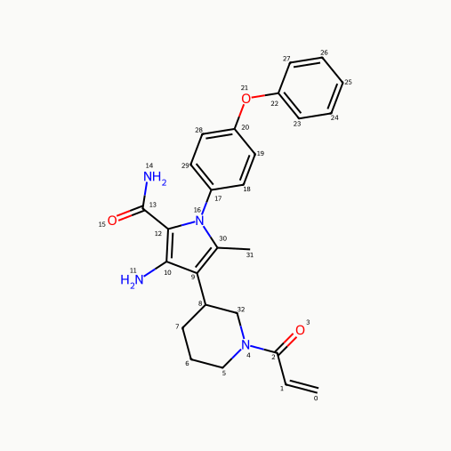 C=CC(=O)N1CCCC(c2c(N)c(C(N)=O)n(-c3ccc(Oc4ccccc4)cc3)c2C)C1